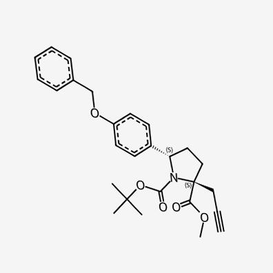 C#CC[C@]1(C(=O)OC)CC[C@@H](c2ccc(OCc3ccccc3)cc2)N1C(=O)OC(C)(C)C